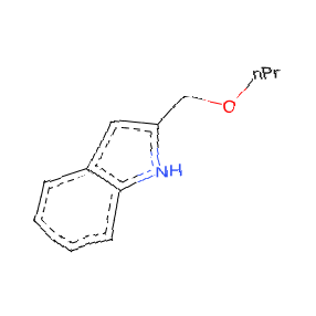 CCCOCc1cc2ccccc2[nH]1